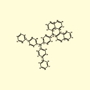 c1ccc(-c2ccc(N(c3ccc(-c4ccccc4)cc3)c3ccc(N4c5ccc6ccccc6c5-c5cccc6cccc4c56)cc3)cc2)cc1